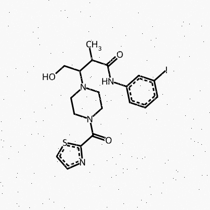 CC(C(=O)Nc1cccc(I)c1)C(CO)N1CCN(C(=O)c2nccs2)CC1